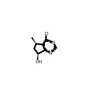 C[C@@H]1C[C@H](O)c2ncnc(Cl)c21